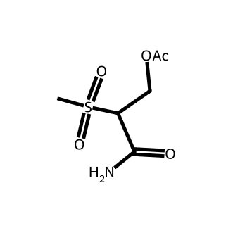 CC(=O)OCC(C(N)=O)S(C)(=O)=O